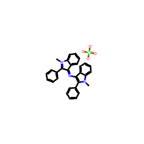 Cn1c(-c2ccccc2)c(N=C2C(c3ccccc3)=[N+](C)c3ccccc32)c2ccccc21.[O-][Cl+3]([O-])([O-])[O-]